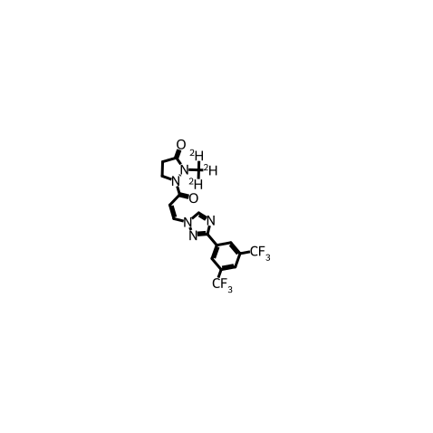 [2H]C([2H])([2H])N1C(=O)CCN1C(=O)/C=C\n1cnc(-c2cc(C(F)(F)F)cc(C(F)(F)F)c2)n1